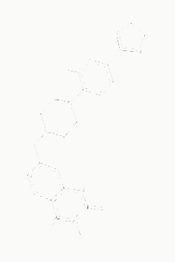 CCn1c(=O)[nH]c2cc(CN3CCN(c4ccc(-c5ncc[nH]5)nc4F)CC3)ccc2c1=S